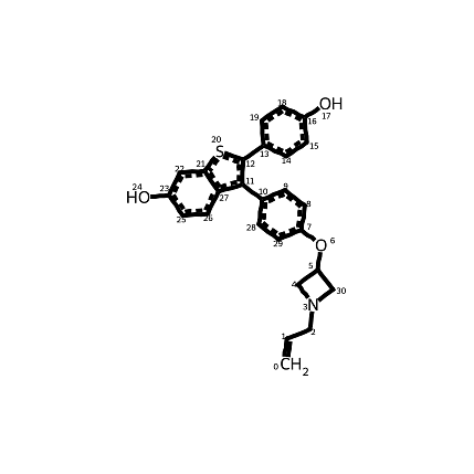 C=CCN1CC(Oc2ccc(-c3c(-c4ccc(O)cc4)sc4cc(O)ccc34)cc2)C1